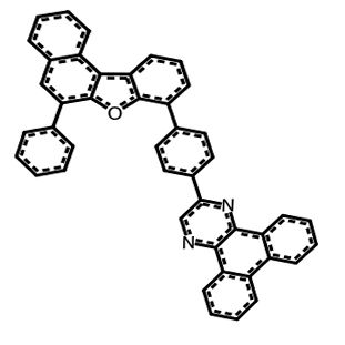 c1ccc(-c2cc3ccccc3c3c2oc2c(-c4ccc(-c5cnc6c7ccccc7c7ccccc7c6n5)cc4)cccc23)cc1